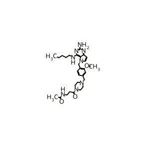 CCCCCNc1nc(N)nc2ccn(Cc3ccc(CN4CCN(C(=O)CCNC(C)=O)CC4)cc3OC)c12